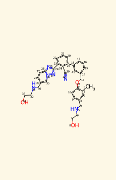 Cc1cc(CNCCO)ccc1OCc1cccc(-c2cccc(-c3nc4ccc(CNCCO)cn4n3)c2C#N)c1